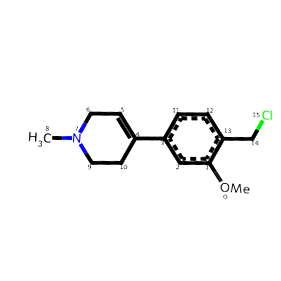 COc1cc(C2=CCN(C)CC2)ccc1CCl